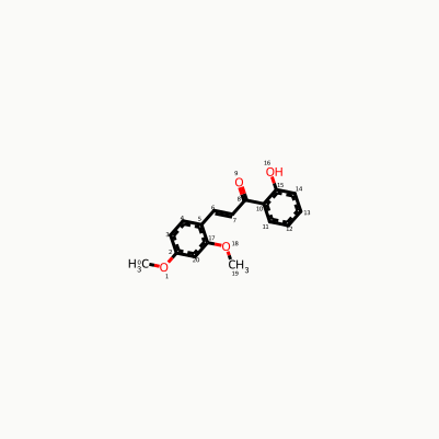 COc1ccc(C=CC(=O)c2ccccc2O)c(OC)c1